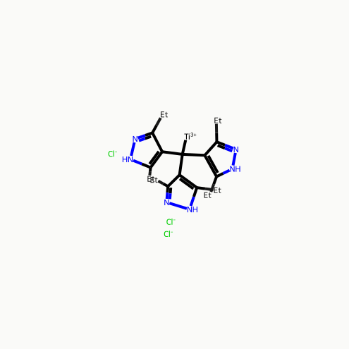 CCc1n[nH]c(CC)c1[C]([Ti+3])(c1c(CC)n[nH]c1CC)c1c(CC)n[nH]c1CC.[Cl-].[Cl-].[Cl-]